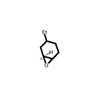 CCC1CCC2O[C@H]2C1